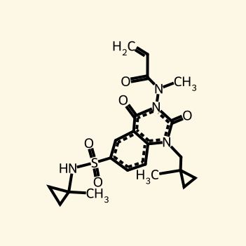 C=CC(=O)N(C)n1c(=O)c2cc(S(=O)(=O)NC3(C)CC3)ccc2n(CC2(C)CC2)c1=O